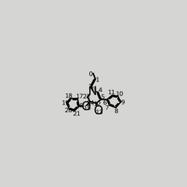 CC=CN1C=C(c2ccccc2)C(=O)C(Oc2ccccc2)C1